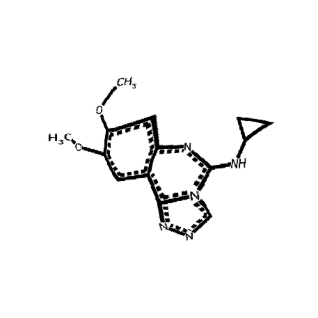 COc1cc2nc(NC3CC3)n3cnnc3c2cc1OC